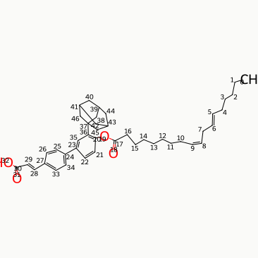 CCCCC/C=C/C/C=C\CCCCCCCC(=O)Oc1ccc(-c2ccc(C=CC(=O)O)cc2)cc1C12CC3CC(CC(C3)C1)C2